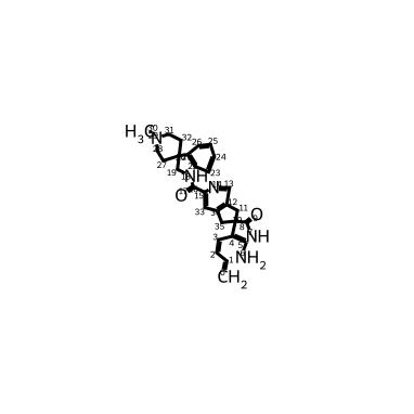 C=C/C=C\C1=C(N)NC(=O)C12Cc1cnc(C(=O)NCC3(c4ccccc4)CCN(C)CC3)cc1C2